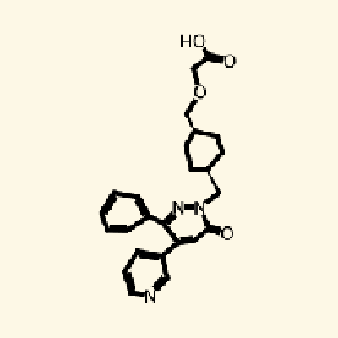 O=C(O)COC[C@H]1CC[C@@H](Cn2nc(-c3ccccc3)c(-c3cccnc3)cc2=O)CC1